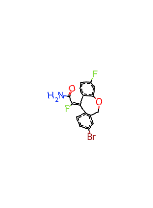 NC(=O)/C(F)=C1/c2ccc(Br)cc2COc2cc(F)ccc21